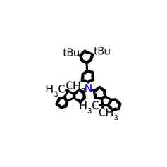 CC(C)(C)c1cc(-c2ccc(N(c3ccc4c(c3)C(C)(C)c3ccccc3-4)c3ccc4c(c3)C(C)(C)c3ccccc3-4)cc2)cc(C(C)(C)C)c1